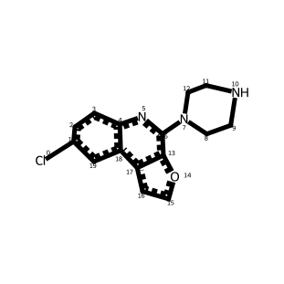 Clc1ccc2nc(N3CCNCC3)c3occc3c2c1